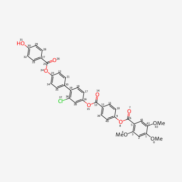 COc1cc(OC)c(C(=O)Oc2ccc(C(=O)Oc3ccc(-c4ccc(OC(=O)c5ccc(O)cc5)cc4)c(Cl)c3)cc2)cc1OC